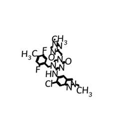 CCn1cc2cc(Nc3nc(=O)n(Cc4ncn(C)n4)c(=O)n3Cc3cc(F)c(C)cc3F)c(Cl)cc2n1